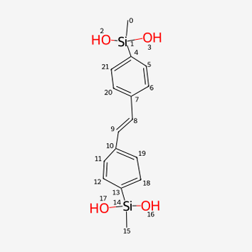 C[Si](O)(O)c1ccc(/C=C/c2ccc([Si](C)(O)O)cc2)cc1